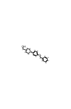 OCC1CCN(c2ccc(OCc3ccccc3)cc2)CC1